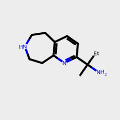 CCC(C)(N)c1ccc2c(n1)CCNCC2